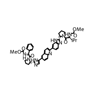 COC(=O)N[C@H](C(=O)N1CCC[C@H]1c1nc2ccc(-c3ccc4cc(-c5cnc([C@@H]6CCCN6C(=O)[C@H](NC(=O)OC)c6ccccc6)[nH]5)ccc4n3)cc2[nH]1)C(C)C